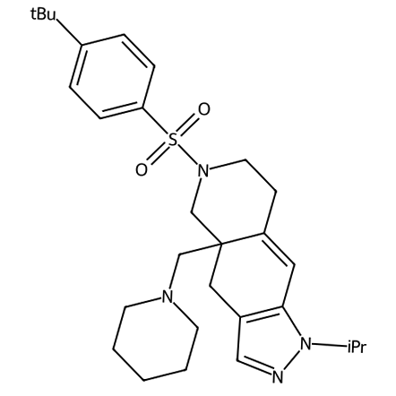 CC(C)n1ncc2c1C=C1CCN(S(=O)(=O)c3ccc(C(C)(C)C)cc3)CC1(CN1CCCCC1)C2